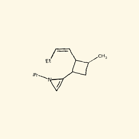 CC/C=C\C1C(C)CC1C1=CN1C(C)C